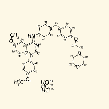 COc1ccc(-c2nnc(NC3CCN(Cc4ccc(OCCN5CCOCC5)cc4)CC3)c3cc(OC)ccc23)cc1.Cl.Cl.Cl